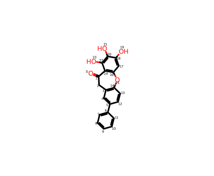 O=C1Cc2cc(-c3ccccc3)ccc2Oc2cc(O)c(O)c(O)c21